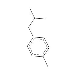 Cc1c[c]c(CC(C)C)cc1